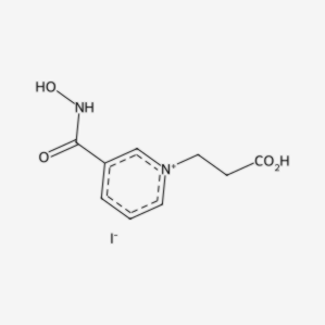 O=C(O)CC[n+]1cccc(C(=O)NO)c1.[I-]